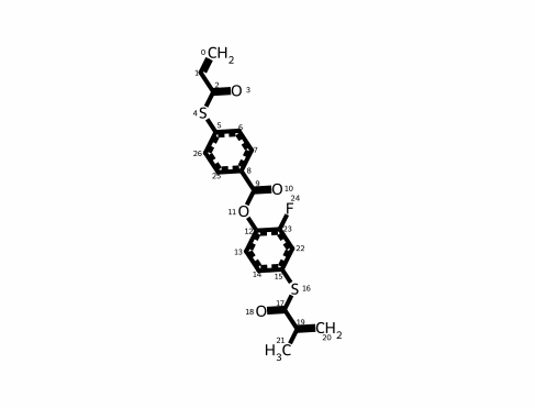 C=CC(=O)Sc1ccc(C(=O)Oc2ccc(SC(=O)C(=C)C)cc2F)cc1